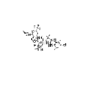 C=CCNC(=O)C(=O)C(CCC(F)(F)F)NC(=O)[C@@H]1[C@@H]2[C@H](CN1C(=O)[C@@H](NC(=O)N[C@H](C(=O)N(C)CC1CC1)C(C)C)C(C)(C)C)C2(C)C